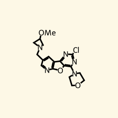 COC1CN(Cc2cnc3oc4c(N5CCOCC5)nc(Cl)nc4c3c2)C1